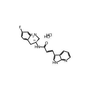 Cl.Cl.NC[C@H](Cc1ccc(F)cc1)NC(=O)C=Cc1c[nH]c2ncccc12